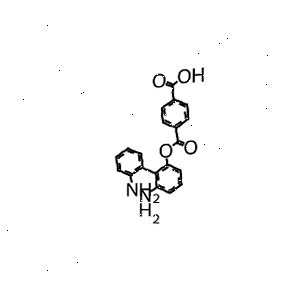 Nc1ccccc1-c1c(N)cccc1OC(=O)c1ccc(C(=O)O)cc1